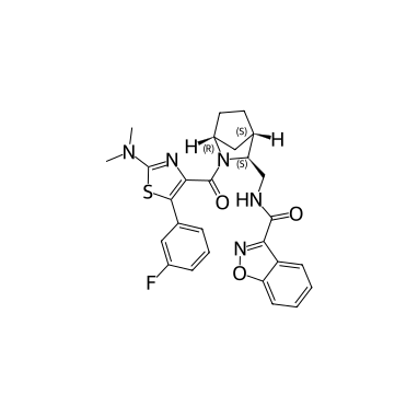 CN(C)c1nc(C(=O)N2[C@@H]3CC[C@@H](C3)[C@H]2CNC(=O)c2noc3ccccc23)c(-c2cccc(F)c2)s1